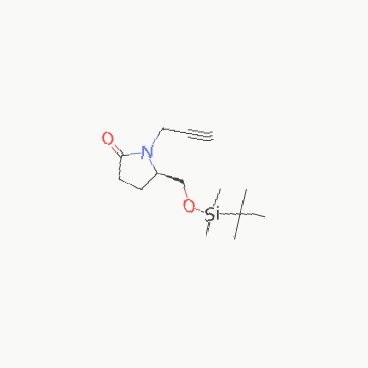 C#CCN1C(=O)CC[C@@H]1CO[Si](C)(C)C(C)(C)C